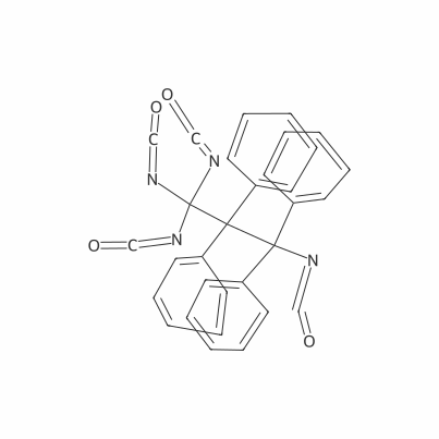 O=C=NC(N=C=O)(N=C=O)C(c1ccccc1)(c1ccccc1)C(N=C=O)(c1ccccc1)c1ccccc1